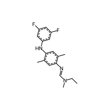 CCN(C)C=Nc1cc(C)c(Nc2cc(F)cc(F)c2)cc1C